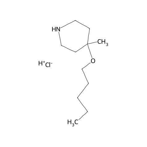 CCCCCOC1(C)CCNCC1.[Cl-].[H+]